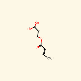 O=C(O)/C=C/C(=O)OCCC(O)O